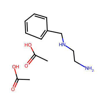 CC(=O)O.CC(=O)O.NCCNCc1ccccc1